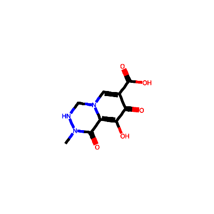 CN1NCn2cc(C(=O)O)c(=O)c(O)c2C1=O